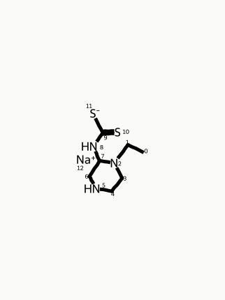 CCN1CCNCC1NC(=S)[S-].[Na+]